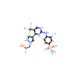 C[C@H](O)Cn1cc(-c2nc(Nc3ccc(S(N)(=O)=O)cc3F)ncc2C(F)(F)F)cn1